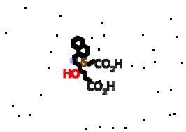 O=C(O)CCCC(O)C(/C=C\c1cccc2ccccc12)SCCC(=O)O